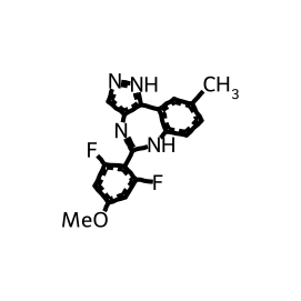 COc1cc(F)c(C2=Nc3cn[nH]c3-c3cc(C)ccc3N2)c(F)c1